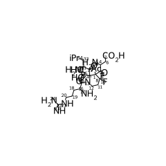 CC(=O)C1(C(=O)C(N)CC(=O)O)C(F)(F)CCN(C(=O)C(N)CCCNC(=N)N)C1(B(O)O)C(=O)C(N)CC(C)C